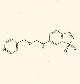 O=S1(=O)C=Cc2ccc(NCOCc3ccncc3)cc21